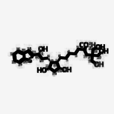 O=C(O)C(CCCCC[C@@H]1[C@@H](CC[C@@H](O)c2cc3ccccc3s2)[C@H](O)C[C@@H]1O)CC(CO)(CO)CO